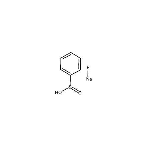 O=S(O)c1ccccc1.[F][Na]